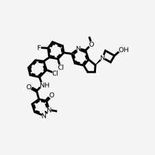 COc1nc(-c2ccc(F)c(-c3cccc(NC(=O)c4ccnn(C)c4=O)c3Cl)c2Cl)cc2c1[C@@H](N1CC(O)C1)CC2